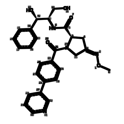 CON=C1C[C@@H](C(=O)N[C@@H](CO)[C@@H](O)c2ccccc2)N(C(=O)c2ccc(-c3cccnc3)cc2)C1